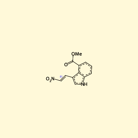 COC(=O)c1cccc2[nH]cc(/C=C/[N+](=O)[O-])c12